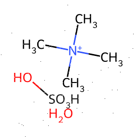 C[N+](C)(C)C.O.O=S(=O)(O)O